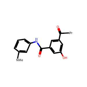 CNc1cccc(NC(=O)c2cc(O)cc(C(=O)C(C)C)c2)c1